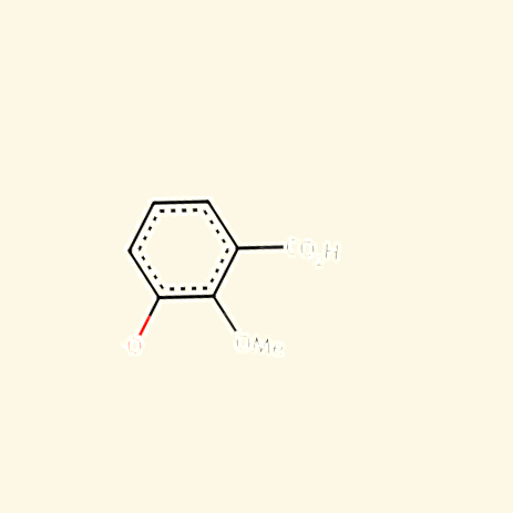 COc1c([O])cccc1C(=O)O